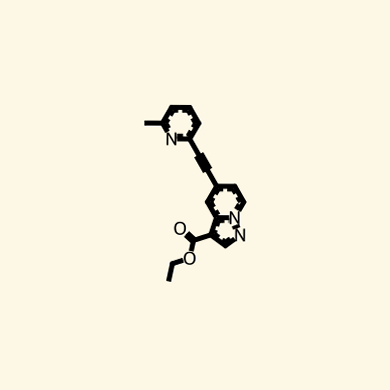 CCOC(=O)c1cnn2ccc(C#Cc3cccc(C)n3)cc12